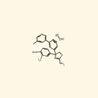 COc1ccc(C2(c3cccc(-c4cncc(C)c4)c3)COC(N)=N2)cc1C(F)(F)F.O=CO